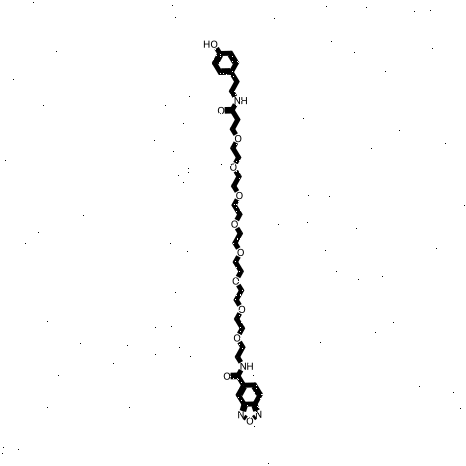 O=C(CCOCCOCCOCCOCCOCCOCCOCCOCCNC(=O)c1ccc2nonc2c1)NCCc1ccc(O)cc1